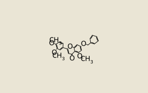 COc1ccc(-c2cc(=O)c3c(OC)cc(OCc4ccccc4)cc3o2)cc1OC